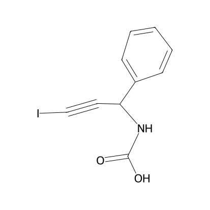 O=C(O)NC(C#CI)c1ccccc1